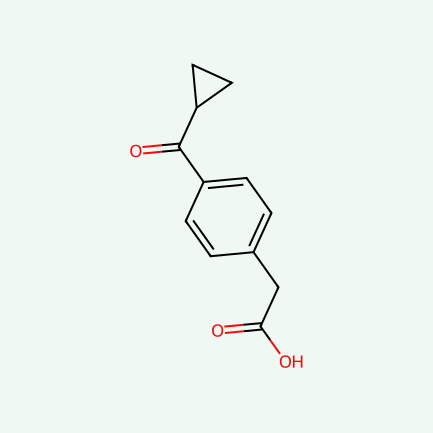 O=C(O)Cc1ccc(C(=O)C2CC2)cc1